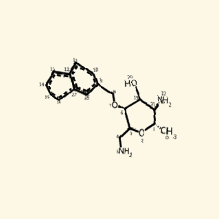 C[C@@H]1OC(CN)[C@@H](OCc2ccc3ccccc3c2)C(O)C1N